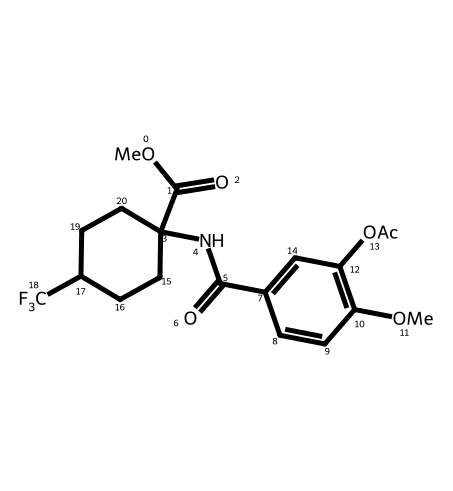 COC(=O)C1(NC(=O)c2ccc(OC)c(OC(C)=O)c2)CCC(C(F)(F)F)CC1